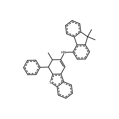 CC1C(Nc2cccc3c2-c2ccccc2C3(C)C)=Cc2c(sc3ccccc23)C1c1ccccc1